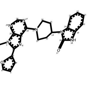 Cn1c(-c2ccco2)nc2c(N3CCC(n4c(=O)[nH]c5ccccc54)CC3)ncnc21